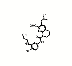 CC(=O)N(C)Cc1cc2c(nc1C=O)N(C(=O)Nc1cc(NCCO)c(C#N)cn1)CCC2